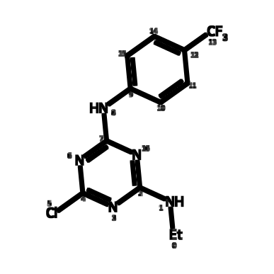 CCNc1nc(Cl)nc(Nc2ccc(C(F)(F)F)cc2)n1